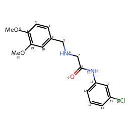 COc1ccc(CNCC(=O)Nc2cccc(Cl)c2)cc1OC